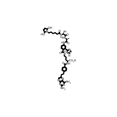 CC(C)[C@H](NC(=O)CCCCCN1C(O)C=CC1O)C(=O)N[C@@H](C)C(=O)Nc1ccc(C(=O)NCCC[C@H](NC(=O)c2ccc(CCc3cnc4nc(N)nc(N)c4n3)cc2)C(=O)O)c(-c2nn[nH]n2)c1